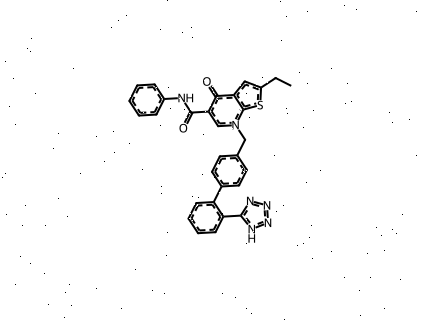 CCc1cc2c(=O)c(C(=O)Nc3ccccc3)cn(Cc3ccc(-c4ccccc4-c4nnn[nH]4)cc3)c2s1